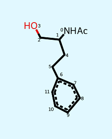 CC(=O)NC(CO)CCc1ccccc1